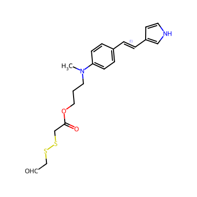 CN(CCCOC(=O)CSSCC=O)c1ccc(/C=C/c2cc[nH]c2)cc1